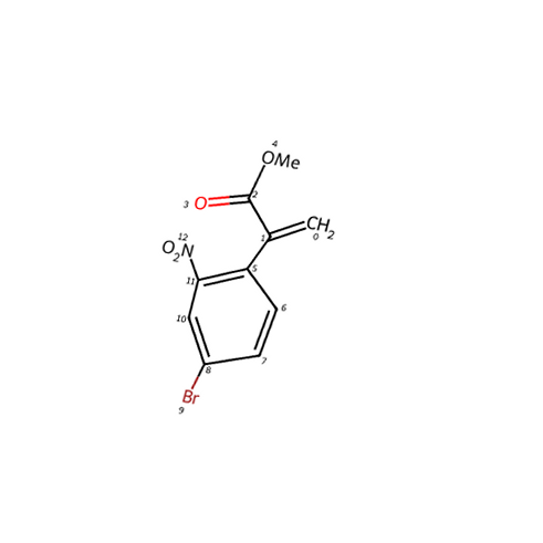 C=C(C(=O)OC)c1ccc(Br)cc1[N+](=O)[O-]